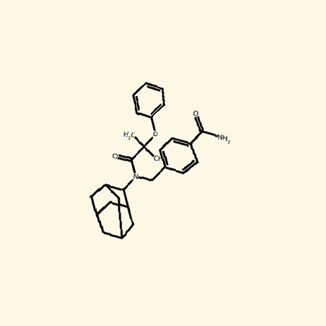 CC(C)(Oc1ccccc1)C(=O)N(Cc1ccc(C(N)=O)cc1)C1C2CC3CC(C2)CC1C3